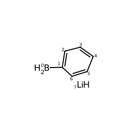 Bc1ccccc1.[LiH]